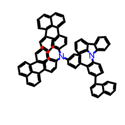 c1ccc(-c2cccc3cccc(-c4ccc(N(c5ccc(-c6cc(-c7cccc8ccccc78)ccc6-n6c7ccccc7c7ccccc76)cc5)c5ccc(-c6cccc7cccc(-c8ccccc8)c67)cc5)cc4)c23)cc1